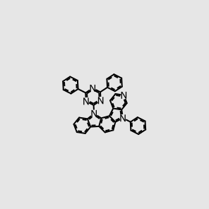 c1ccc(-c2nc(-c3ccccc3)nc(-n3c4ccccc4c4ccc5c(c6ccncc6n5-c5ccccc5)c43)n2)cc1